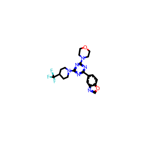 FC(F)(F)C1CCN(c2nc(-c3ccc4ocnc4c3)nc(N3CCOCC3)n2)CC1